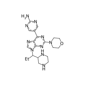 CCC(C1CNCCN1)n1cnc2c(-c3cnc(N)nc3)nc(N3CCOCC3)nc21